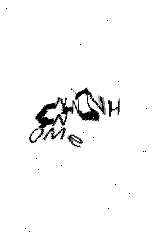 COc1ccnc(N2CCNC[C@H]2C)n1